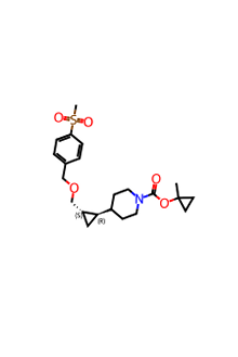 CC1(OC(=O)N2CCC([C@H]3C[C@@H]3COCc3ccc(S(C)(=O)=O)cc3)CC2)CC1